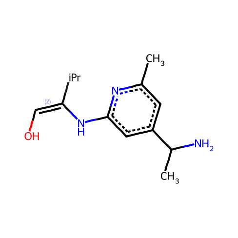 Cc1cc(C(C)N)cc(N/C(=C\O)C(C)C)n1